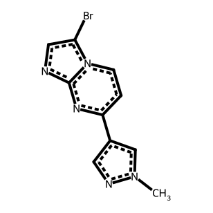 Cn1cc(-c2ccn3c(Br)cnc3n2)cn1